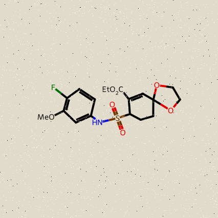 CCOC(=O)C1=CC2(CCC1S(=O)(=O)Nc1ccc(F)c(OC)c1)OCCO2